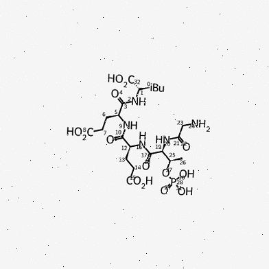 CC[C@H](C)[C@H](NC(=O)[C@H](CCC(=O)O)NC(=O)[C@H](CCC(=O)O)NC(=O)[C@@H](NC(=O)CN)[C@@H](C)OP(=O)(O)O)C(=O)O